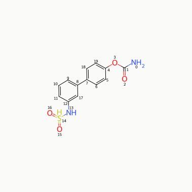 NC(=O)Oc1ccc(-c2cccc(N[SH](=O)=O)c2)cc1